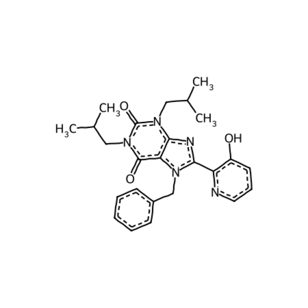 CC(C)Cn1c(=O)c2c(nc(-c3ncccc3O)n2Cc2ccccc2)n(CC(C)C)c1=O